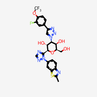 Cc1nc2ccc(-n3ncnc3[C@@H]3O[C@H](CO)[C@H](O)[C@H](n4cc(-c5ccc(OC(F)(F)F)c(F)c5)nn4)[C@H]3O)cc2s1